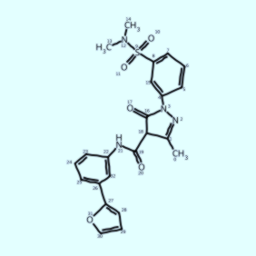 CC1=NN(c2cccc(S(=O)(=O)N(C)C)c2)C(=O)C1C(=O)Nc1cccc(-c2ccco2)c1